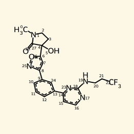 CN1CCC(O)(c2cc(-c3cccc(-c4ccnc(NCCC(F)(F)F)n4)c3)no2)C1=O